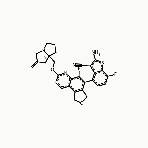 C=C1CN2CCC[C@]2(COc2ncc3c4c(c(-c5ccc(F)c6sc(N)c(C#N)c56)c(F)c3n2)COC4)C1